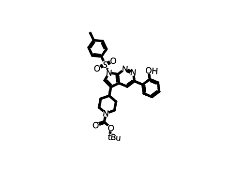 Cc1ccc(S(=O)(=O)n2cc(C3CCN(C(=O)OC(C)(C)C)CC3)c3cc(-c4ccccc4O)nnc32)cc1